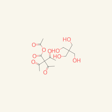 CC(=O)OC(=O)C(C(C)=O)(C(C)=O)C(C)=O.OCC(CO)(CO)CO